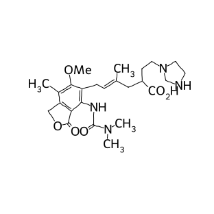 COc1c(C)c2c(c(NC(=O)N(C)C)c1C/C=C(\C)CC(CCN1CCNC1)C(=O)O)C(=O)OC2